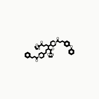 O=C(CCC(C1CCN(C(=O)CCc2ccc(Oc3ccccc3)cc2)CC1)C(CCC1CCN(C(=O)CCc2ccccc2)CC1)C(=O)c1ncco1)c1ncco1